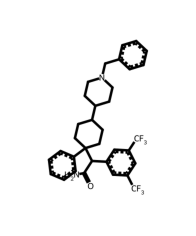 NC(=O)C(c1cc(C(F)(F)F)cc(C(F)(F)F)c1)C1(c2ccccc2)CCC(C2CCN(Cc3ccccc3)CC2)CC1